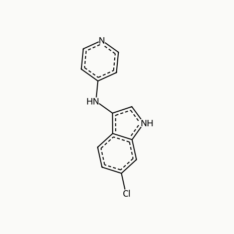 Clc1ccc2c(Nc3ccncc3)c[nH]c2c1